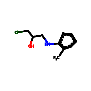 OC(CCl)CNc1ccccc1C(F)(F)F